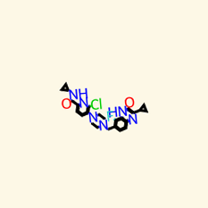 O=C(NC1CC1)c1ccc(N2CCN(Cc3ccc4nc(C5CC5)c(=O)[nH]c4c3F)CC2)c(Cl)n1